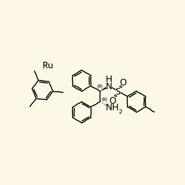 Cc1cc(C)cc(C)c1.Cc1ccc(S(=O)(=O)N[C@H](c2ccccc2)[C@H](N)c2ccccc2)cc1.[Ru]